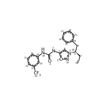 O=C([N-]c1c[n+]([C@H](CF)Cc2ccccc2)no1)Nc1cccc(C(F)(F)F)c1